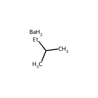 CCC(C)C.[BaH2]